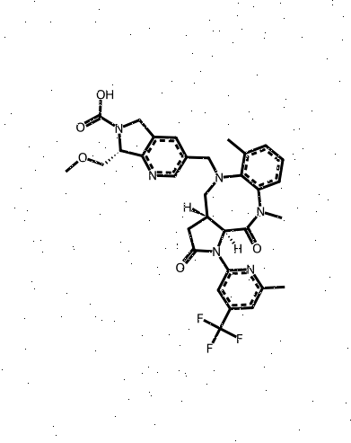 COC[C@H]1c2ncc(CN3C[C@H]4CC(=O)N(c5cc(C(F)(F)F)cc(C)n5)[C@@H]4C(=O)N(C)c4cccc(C)c43)cc2CN1C(=O)O